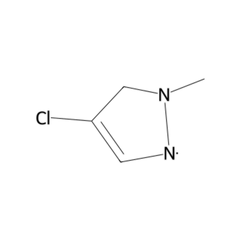 CN1CC(Cl)=C[N]1